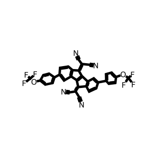 N#CC(C#N)=C1C2=C(C(=C(C#N)C#N)c3ccc(-c4ccc(OC(F)(F)F)cc4)cc32)c2cc(-c3ccc(OC(F)(F)F)cc3)ccc21